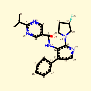 CC(C)c1ncc(C(=O)Nc2c(-c3ccccc3)ccnc2N2CC[C@@H](F)C2)cn1